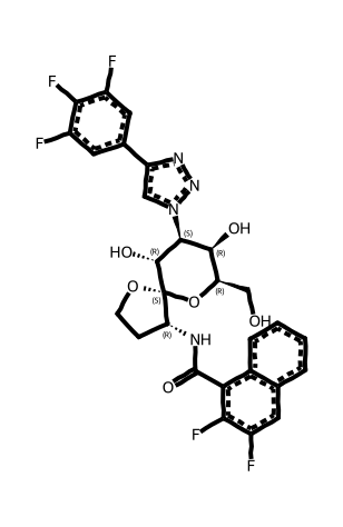 O=C(N[C@@H]1CCO[C@]12O[C@H](CO)[C@H](O)[C@H](n1cc(-c3cc(F)c(F)c(F)c3)nn1)[C@H]2O)c1c(F)c(F)cc2ccccc12